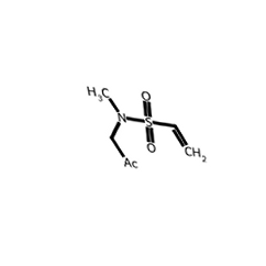 C=CS(=O)(=O)N(C)CC(C)=O